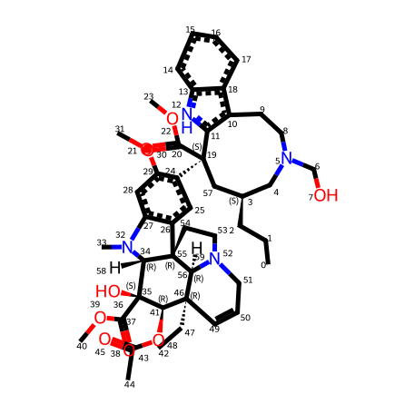 CCC[C@@H]1CN(CO)CCc2c([nH]c3ccccc23)[C@@](C(=O)OC)(c2cc3c(cc2OC)N(C)[C@H]2[C@@](O)(C(=O)OC)[C@H](OC(C)=O)[C@]4(CC)C=CCN5CC[C@]32[C@@H]54)C1